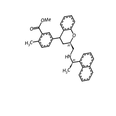 COC(=O)c1cc(C2C[C@H](CN[C@H](C)c3cccc4ccccc34)Oc3ccccc32)ccc1C